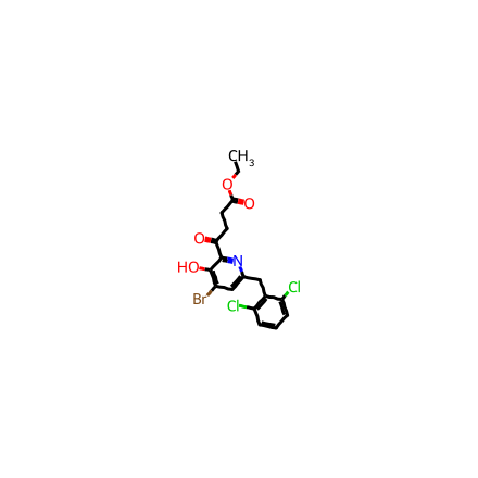 CCOC(=O)CCC(=O)c1nc(Cc2c(Cl)cccc2Cl)cc(Br)c1O